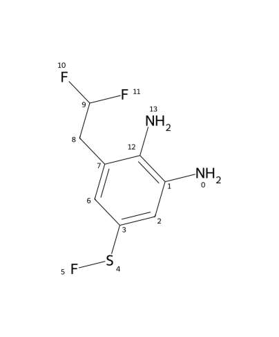 Nc1cc(SF)cc(CC(F)F)c1N